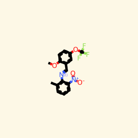 COc1ccc(OC(F)(F)F)cc1/C=N/c1c(C)cccc1[N+](=O)[O-]